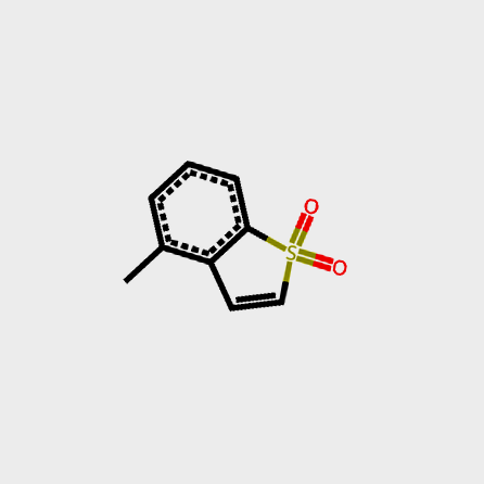 Cc1cccc2c1C=CS2(=O)=O